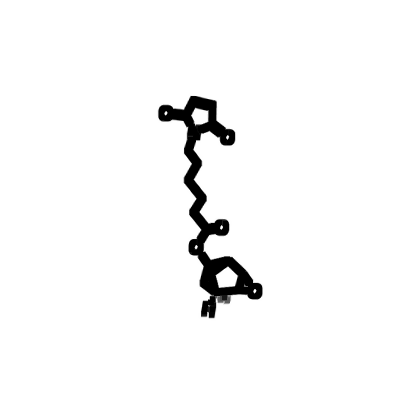 O=C(CCCCCN1C(=O)C=CC1=O)OC1C[C@H]2CC1C1OC12